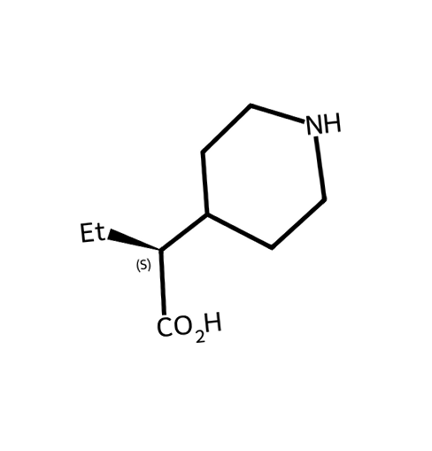 [CH2]C[C@H](C(=O)O)C1CCNCC1